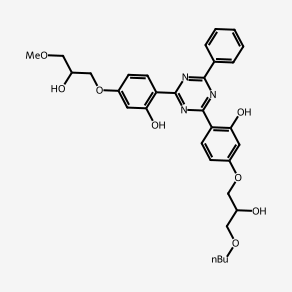 CCCCOCC(O)COc1ccc(-c2nc(-c3ccccc3)nc(-c3ccc(OCC(O)COC)cc3O)n2)c(O)c1